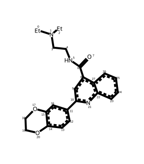 CCN(CC)CCNC(=O)c1cc(-c2ccc3c(c2)OCCO3)nc2ccccc12